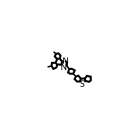 Cc1ccc2c(c1)c1cc(C)ccc1c1nc(-c3ccc(-c4ccc5sc6ccccc6c5c4)cc3)cnc21